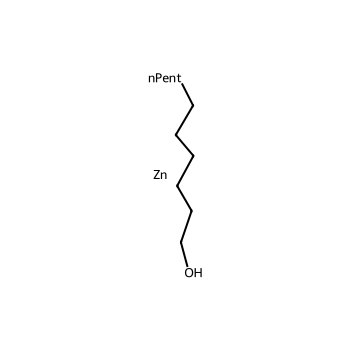 CCCCCCCCCCCO.[Zn]